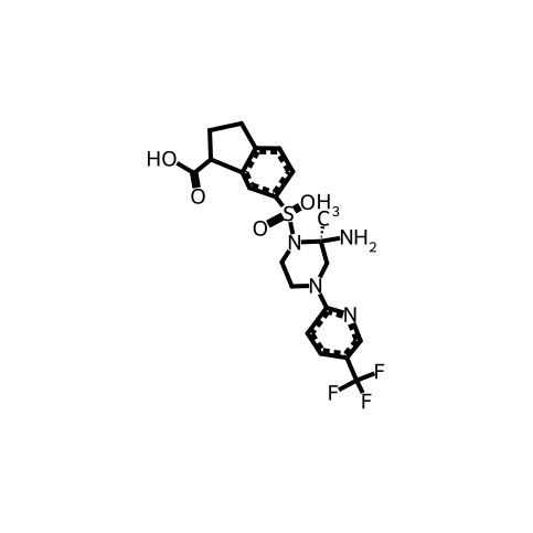 C[C@]1(N)CN(c2ccc(C(F)(F)F)cn2)CCN1S(=O)(=O)c1ccc2c(c1)C(C(=O)O)CC2